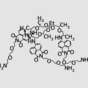 CCC(OCC(C)OCC(C)Nc1ccc2c3c(cccc13)C(=O)N(CCOCCOCCN)C2=O)(OCC(C)OCC(C)Nc1ccc2c3c(cccc13)C(=O)N(CCOCCOCCN)C2=O)OCC(C)OCC(C)Nc1ccc2c3c(cccc13)C(=O)N(CCOCCOCCN)C2=O